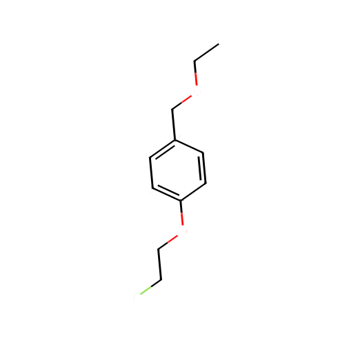 CCOCc1ccc(OCCF)cc1